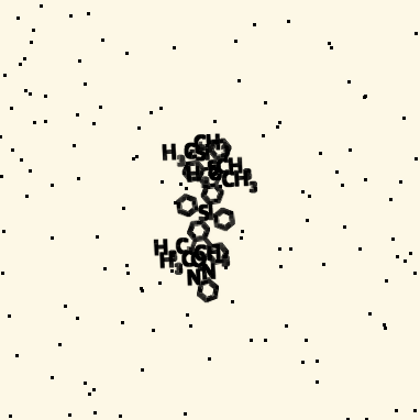 CC(C)(C)c1ccc([Si](c2ccccc2)(c2ccccc2)c2ccc(C(C)(C)C)c(-c3cccc4c3oc3nc5ccccc5n34)c2)cc1-c1cccc2c1Sc1ccccc1[Si]2(C)C